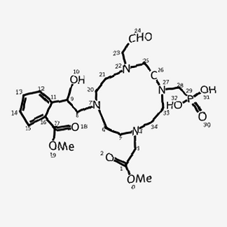 COC(=O)CN1CCN(CC(O)c2ccccc2C(=O)OC)CCN(CC=O)CCN(CP(=O)(O)O)CC1